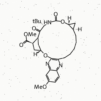 COC(=O)[C@@H]1C[C@@H]2CC1C(=O)[C@H](C(C)(C)C)NC(=O)O[C@@H]1C[C@H]1CCCCCc1nc3ccc(OC)cc3nc1O2